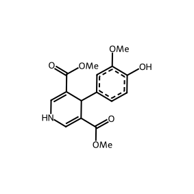 COC(=O)C1=CNC=C(C(=O)OC)C1c1ccc(O)c(OC)c1